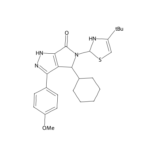 COc1ccc(-c2n[nH]c3c2C(C2CCCCC2)N(C2NC(C(C)(C)C)=CS2)C3=O)cc1